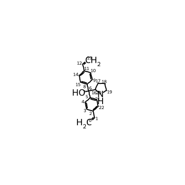 C=Cc1ccc(C(O)(c2ccc(C=C)cc2)C2CCCN2)cc1